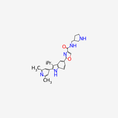 Cc1cc(-c2[nH]c3ccc(-c4nc(C(=O)NCC5CCNC5)co4)cc3c2C(C)C)cc(C)n1